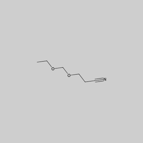 CCOCOCCC#N